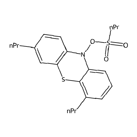 CCCc1ccc2c(c1)Sc1c(CCC)cccc1N2OS(=O)(=O)CCC